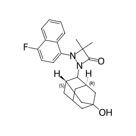 CC1(C)C(=O)N(C2[C@@H]3CC4C[C@H]2CC(O)(C4)C3)N1c1ccc(F)c2ccccc12